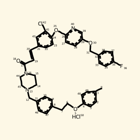 Cc1ccc(OCCc2ccc(CN3CCN(C(=O)/C=C/c4ccc(Oc5ccc(OCc6ccc(F)cc6)cn5)c(Cl)c4)CC3)cc2)cc1.Cl